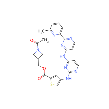 CC(=O)N1CC(COC(=O)c2cc(Nc3nccc(Nc4ccnc(-c5cccc(C)n5)n4)n3)cs2)C1